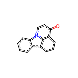 O=c1ccn2c3ccccc3c3cccc1c32